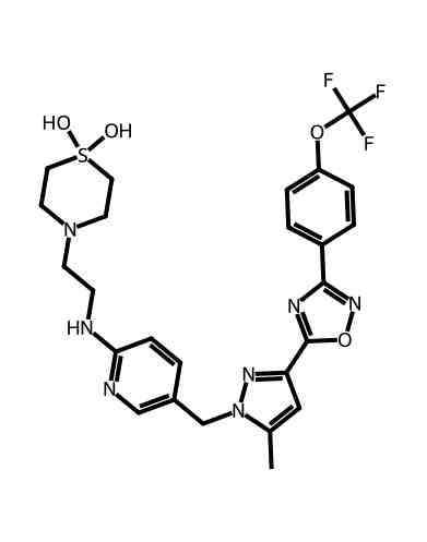 Cc1cc(-c2nc(-c3ccc(OC(F)(F)F)cc3)no2)nn1Cc1ccc(NCCN2CCS(O)(O)CC2)nc1